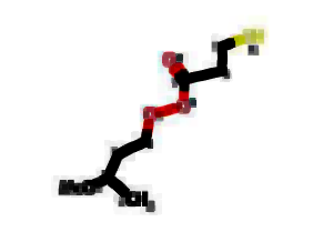 COC(C)CCOOC(=O)CCS